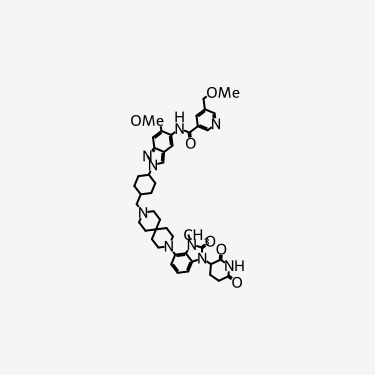 COCc1cncc(C(=O)Nc2cc3cn(C4CCC(CN5CCC6(CC5)CCN(c5cccc7c5n(C)c(=O)n7C5CCC(=O)NC5=O)CC6)CC4)nc3cc2OC)c1